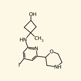 CC1(Nc2cc(I)cc(C3CNCCO3)n2)CC(O)C1